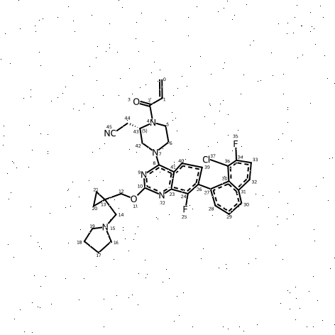 C=CC(=O)N1CCN(c2nc(OCC3(CN4CCCC4)CC3)nc3c(F)c(-c4cccc5ccc(F)c(Cl)c45)ccc23)C[C@@H]1CC#N